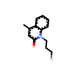 Cc1cc(=O)n(CCCCl)c2ccccc12